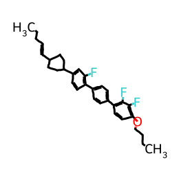 CCC/C=C/C1CCC(c2ccc(-c3ccc(-c4ccc(OCCCC)c(F)c4F)cc3)c(F)c2)CC1